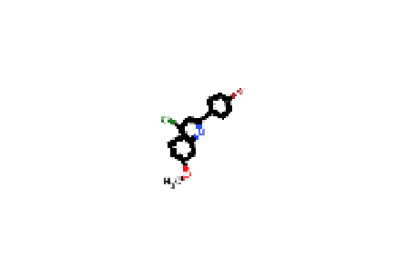 COc1ccc2c(Cl)cc(-c3ccc(Br)cc3)nc2c1